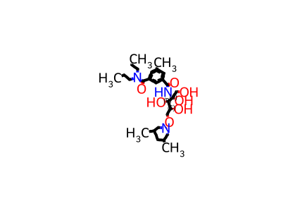 CCCN(CCC)C(=O)c1cc(C)cc(C(=O)N[C@](O)(CO)[C@H](O)[C@@H](O)CON2CC(C)CC(C)C2)c1